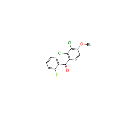 CCOc1ccc(C(=O)c2ccccc2F)c(Cl)c1Cl